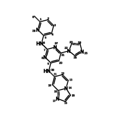 Cc1cccc(Nc2nc(Nc3ccn4ccnc4c3)cc(-n3ccnc3)n2)n1